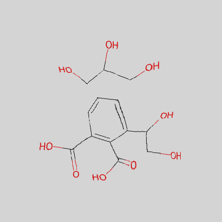 O=C(O)c1cccc(C(O)CO)c1C(=O)O.OCC(O)CO